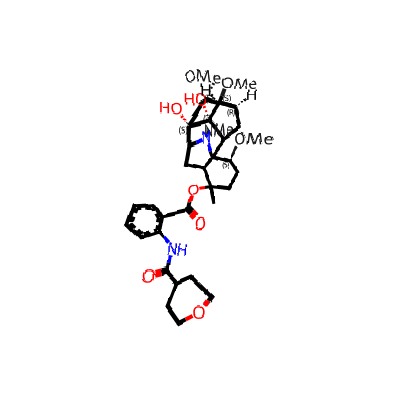 CNN1C2CC3C(C)(OC(=O)c4ccccc4NC(=O)C4CCOCC4)CC[C@H](OC)C31C1C[C@@H]3[C@@H](OC)C[C@@]2(O)[C@@]1(O)[C@H]3OC